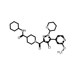 COc1cc(-c2c(Cl)c(C(=O)N3CCC(C(=O)NC4CCCCC4)CC3)nn2C2CCCCO2)ccn1